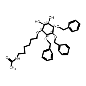 CC(=O)NCCCCCCO[C@H]1[C@@H](O)[C@@H](O)[C@H](OCc2ccccc2)[C@@H](OCc2ccccc2)[C@@H]1OCc1ccccc1